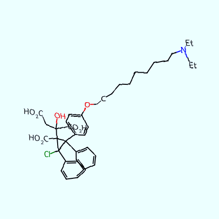 CCN(CC)CCCCCCCCCCOc1ccc(C2(c3ccccc3)C(Cl)(c3ccccc3)C2(C(=O)O)C(O)(CC(=O)O)C(=O)O)cc1